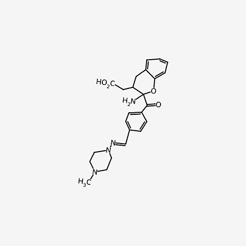 CN1CCN(N=Cc2ccc(C(=O)C3(N)Oc4ccccc4CC3CC(=O)O)cc2)CC1